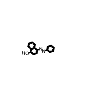 Oc1ccc(/N=N/c2ccccc2)c2ccccc12